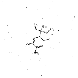 CCC(C=C(C)C(N)=O)[Si](C)(OC)OC